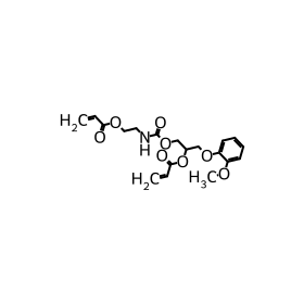 C=CC(=O)OCCNC(=O)OCC(COc1ccccc1OC)OC(=O)C=C